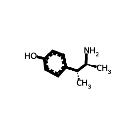 C[C@H](N)[C@H](C)c1ccc(O)cc1